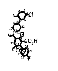 Cc1ccc(Cl)cc1C1=CCN(C(C)C2=CC(C)(C(=O)O)C(c3ccc(F)cc3)C(C(=O)O)=C2Cl)CC1